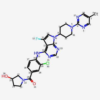 CCc1cnc(N2CCC(n3cc(F)c4c(Nc5ccc(C(=O)N6CCC(O)C6)cc5Cl)ncnc43)CC2)nc1